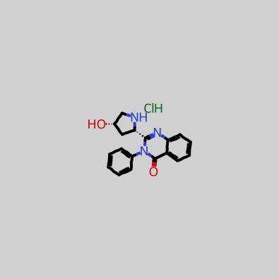 Cl.O=c1c2ccccc2nc([C@@H]2C[C@H](O)CN2)n1-c1ccccc1